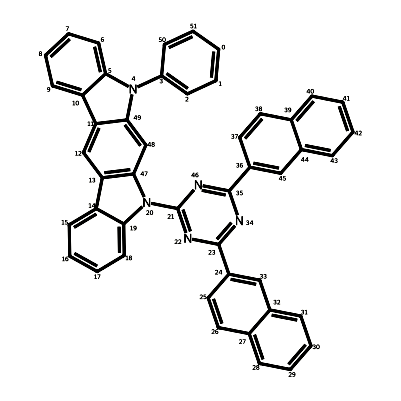 c1ccc(-n2c3ccccc3c3cc4c5ccccc5n(-c5nc(-c6ccc7ccccc7c6)nc(-c6ccc7ccccc7c6)n5)c4cc32)cc1